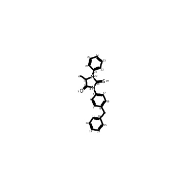 CC1C(=O)N(c2ccc(Cc3ccccc3)cc2)C(=S)N1c1ccccc1